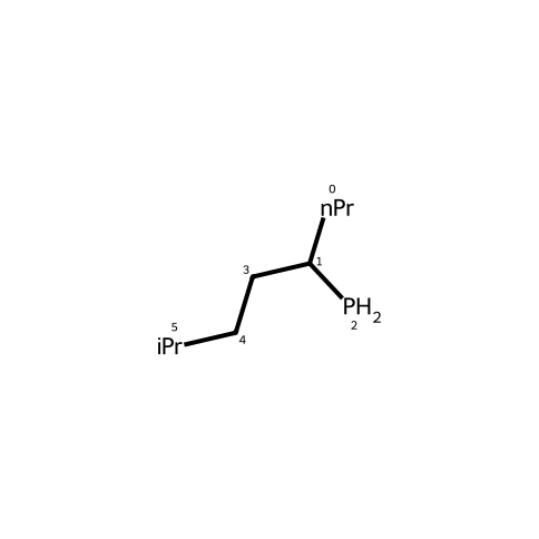 CCCC(P)CCC(C)C